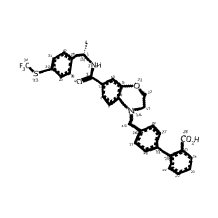 C[C@H](NC(=O)c1ccc2c(c1)OCCN2Cc1ccc(-c2ccccc2C(=O)O)cc1)c1ccc(SC(F)(F)F)cc1